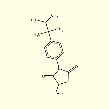 BC(C)C(C)(C)c1ccc(N2C(=O)CC(CCCCCC)C2=O)cc1